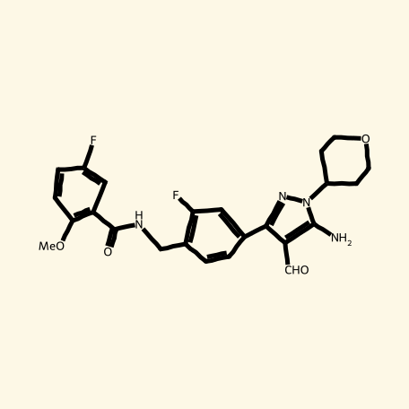 COc1ccc(F)cc1C(=O)NCc1ccc(-c2nn(C3CCOCC3)c(N)c2C=O)cc1F